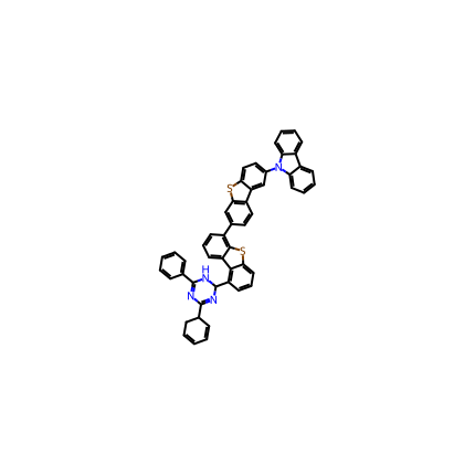 C1=CCC(C2=NC(c3cccc4sc5c(-c6ccc7c(c6)sc6ccc(-n8c9ccccc9c9ccccc98)cc67)cccc5c34)NC(c3ccccc3)=N2)C=C1